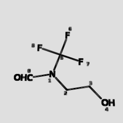 O=CN(CCO)C(F)(F)F